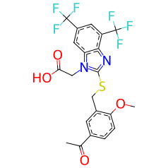 COc1ccc(C(C)=O)cc1CSc1nc2c(C(F)(F)F)cc(C(F)(F)F)cc2n1CC(=O)O